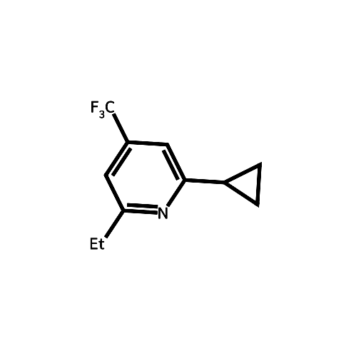 CCc1cc(C(F)(F)F)cc(C2CC2)n1